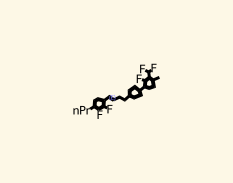 CCCc1ccc(/C=C/CCc2ccc(-c3ccc(C)c(C(F)F)c3F)cc2)c(F)c1F